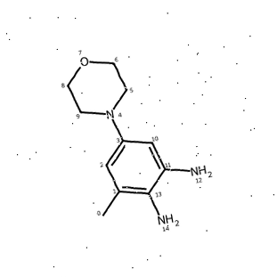 Cc1cc(N2CCOCC2)cc(N)c1N